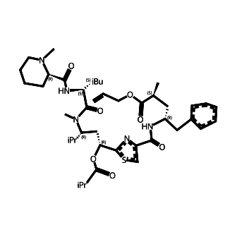 C=CCOC(=O)[C@@H](C)C[C@H](Cc1ccccc1)NC(=O)c1csc([C@@H](C[C@H](C(C)C)N(C)C(=O)[C@@H](NC(=O)[C@H]2CCCCN2C)[C@@H](C)CC)OC(=O)C(C)C)n1